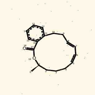 C[C@@H]1CCC/C=C\C=C\CCc2ccccc2C(=O)O1